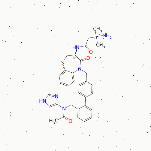 CC(=O)N(Cc1ccccc1-c1ccc(CN2C(=O)[C@H](NC(=O)CC(C)(C)N)CSc3ccccc32)cc1)c1c[nH]cn1